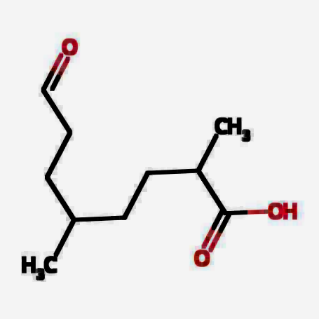 CC(CCC=O)CCC(C)C(=O)O